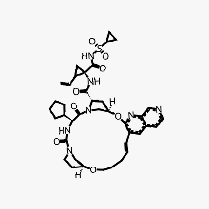 C=CC1C[C@]1(NC(=O)[C@@H]1C[C@@H]2CN1C(=O)[C@H](C1CCCC1)NC(=O)N1CC[C@@H](C1)OCCC/C=C/c1cc3ccncc3nc1O2)C(=O)NS(=O)(=O)C1CC1